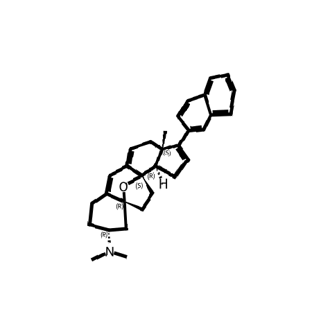 CN(C)[C@@H]1CCC2=CC3=CC[C@]4(C)C(c5ccc6ccccc6c5)=CC[C@H]4[C@@]34CC[C@]2(C1)O4